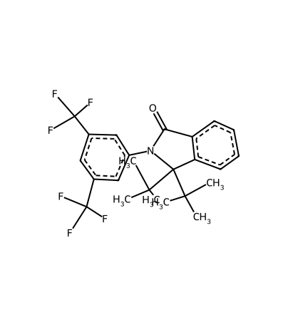 CC(C)(C)C1(C(C)(C)C)c2ccccc2C(=O)N1c1cc(C(F)(F)F)cc(C(F)(F)F)c1